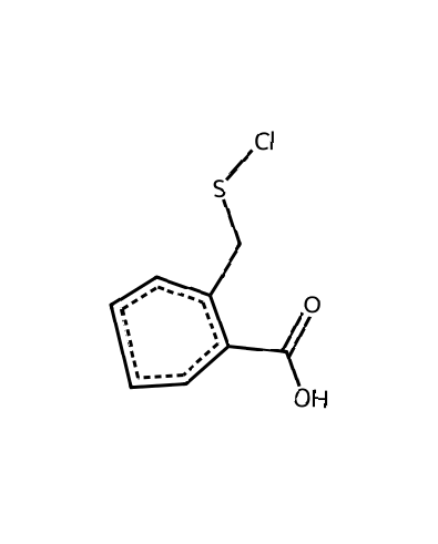 O=C(O)c1ccccc1CSCl